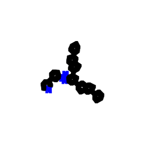 c1ccc(-c2ccc3cc(-c4cc(-c5ccc6cc(-c7ccccc7)ccc6c5)c5nn(-c6cccc(-c7cccnc7)c6)nc5c4)ccc3c2)cc1